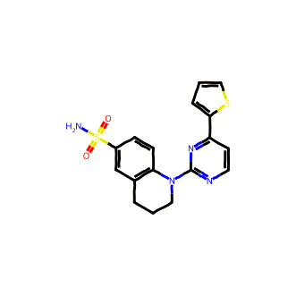 NS(=O)(=O)c1ccc2c(c1)CCCN2c1nccc(-c2cccs2)n1